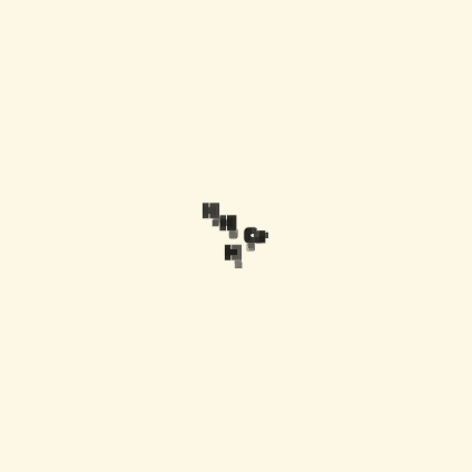 I.I.I.[Cu]